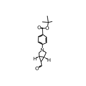 CC(C)(C)OC(=O)c1ccc(N2C[C@@H]3C(C=O)[C@@H]3C2)cc1